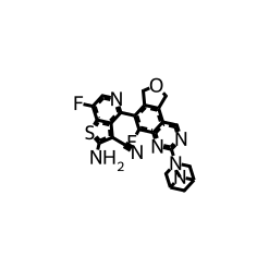 CN1C2CC1CN(c1ncc3c4c(c(-c5ncc(F)c6sc(N)c(C#N)c56)c(F)c3n1)COC4)C2